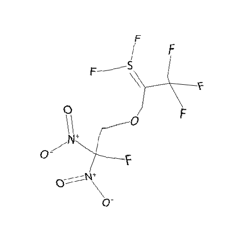 O=[N+]([O-])C(F)(COC(=S(F)F)C(F)(F)F)[N+](=O)[O-]